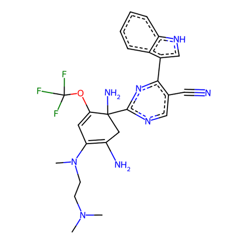 CN(C)CCN(C)C1=C(N)CC(N)(c2ncc(C#N)c(-c3c[nH]c4ccccc34)n2)C(OC(F)(F)F)=C1